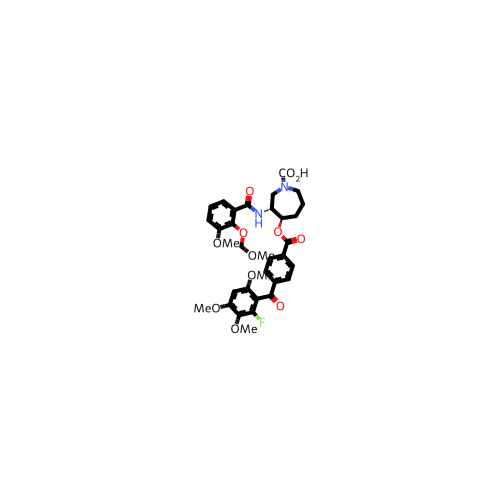 COCOc1c(OC)cccc1C(=O)N[C@@H]1CN(C(=O)O)CCC[C@H]1OC(=O)c1ccc(C(=O)c2c(OC)cc(OC)c(OC)c2F)cc1